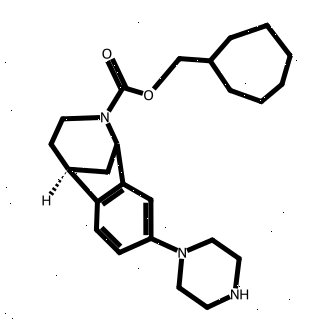 O=C(OCC1CCCCCC1)N1CC[C@H]2CC1c1cc(N3CCNCC3)ccc12